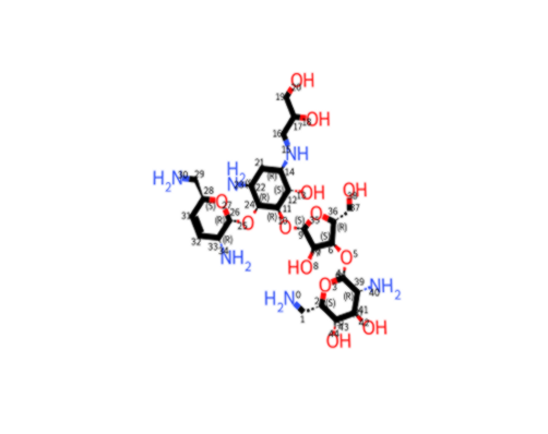 NC[C@@H]1O[C@H](O[C@H]2[C@@H](O)[C@H](O[C@@H]3[C@@H](O)[C@H](NCC(O)CO)C[C@H](N)[C@H]3O[C@H]3O[C@H](CN)C=C[C@H]3N)O[C@@H]2CO)[C@H](N)[C@@H](O)[C@@H]1O